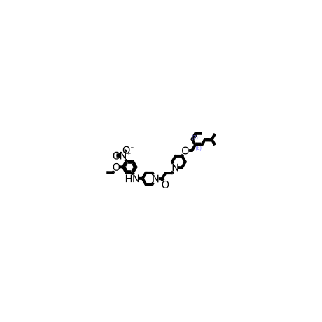 C/C=C\C(=C/C=C(C)C)COC1CCN(CCC(=O)N2CCC(Nc3ccc([N+](=O)[O-])c(OCC)c3)CC2)CC1